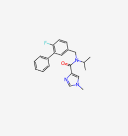 CC(C)N(Cc1ccc(F)c(-c2ccccc2)c1)C(=O)c1cn(C)cn1